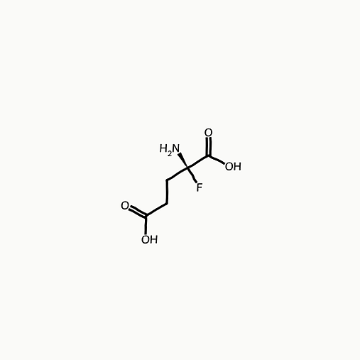 N[C@@](F)(CCC(=O)O)C(=O)O